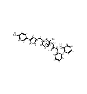 O=C(O[C@H]1C[N+]2(Cc3noc(-c4ccc(Cl)cc4)n3)CCC1CC2)[C@H](Nc1ccccc1)c1ccccc1